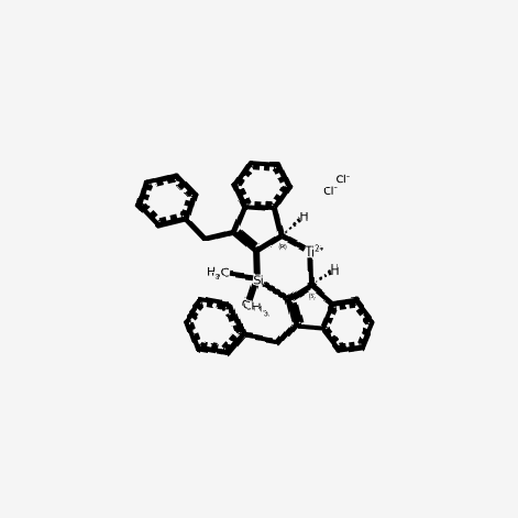 C[Si]1(C)C2=C(Cc3ccccc3)c3ccccc3[C@@H]2[Ti+2][C@H]2C1=C(Cc1ccccc1)c1ccccc12.[Cl-].[Cl-]